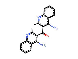 Cc1nc2ccccc2c(N)c1C(=O)c1c(C)nc2ccccc2c1N